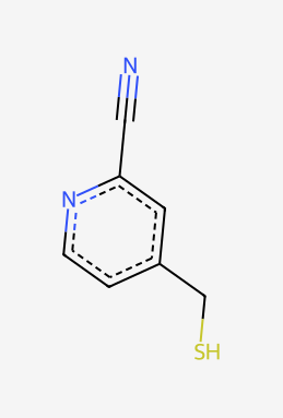 N#Cc1cc(CS)ccn1